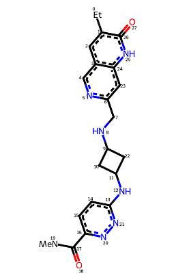 CCc1cc2cnc(CNC3CC(Nc4ccc(C(=O)NC)nn4)C3)cc2[nH]c1=O